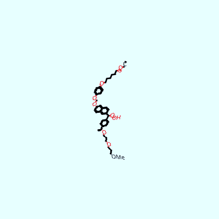 C=C=COOCCCCCCOc1ccc(OCOc2ccc3cc(C(OO)c4ccc(C(=C)OCCCOCCCOC)cc4)ccc3c2)cc1